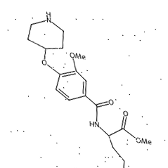 COC(=O)C(CCSC)NC(=O)c1ccc(OC2CCNCC2)c(OC)c1